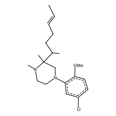 CC=CCCC(C)C1(C)CN(c2cc(Cl)ccc2OC)CCN1C